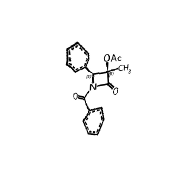 CC(=O)O[C@@]1(C)C(=O)N(C(=O)c2ccccc2)[C@H]1c1ccccc1